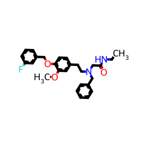 CCNC(=O)CN(CCc1ccc(OCc2cccc(F)c2)c(OC)c1)Cc1ccccc1